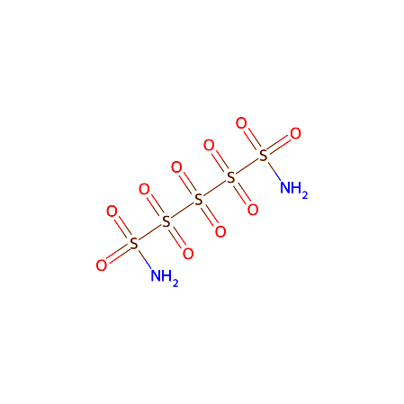 NS(=O)(=O)S(=O)(=O)S(=O)(=O)S(=O)(=O)S(N)(=O)=O